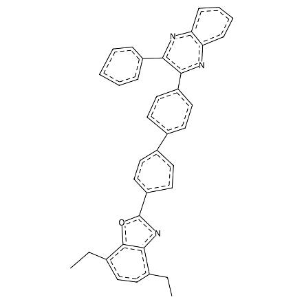 CCc1ccc(CC)c2oc(-c3ccc(-c4ccc(-c5nc6ccccc6nc5-c5ccccc5)cc4)cc3)nc12